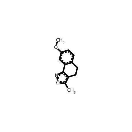 COc1ccc2c(c1)-c1noc(C)c1CC2